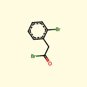 O=C(Br)Cc1ccccc1Br